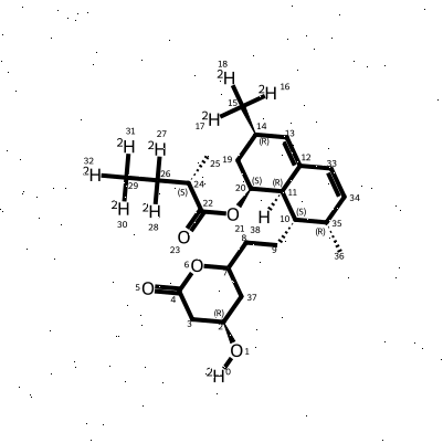 [2H]O[C@H]1CC(=O)OC(CC[C@@H]2[C@@H]3C(=C[C@H](C([2H])([2H])[2H])C[C@@H]3OC(=O)[C@@H](C)C([2H])([2H])C([2H])([2H])[2H])C=C[C@@H]2C)C1